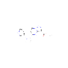 CCOC(=O)c1cnn2ccc(C3CCCN3c3cc(F)cnc3O)nc12